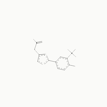 O=C(O)Cc1csc(-c2ccc(Cl)c(C(F)(F)F)c2)n1